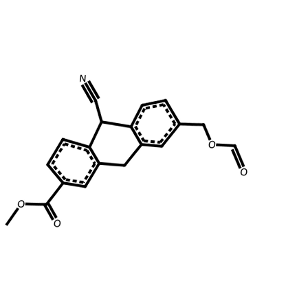 COC(=O)c1ccc2c(c1)Cc1cc(COC=O)ccc1C2C#N